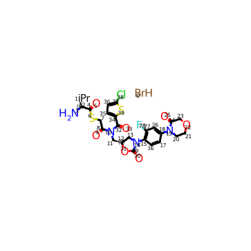 Br.CC(C)[C@H](N)C(=O)SCC(=O)N(C[C@H]1CN(c2ccc(N3CCOCC3=O)cc2F)C(=O)O1)C(=O)c1ccc(Cl)s1